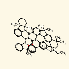 CCCCc1ccc(N2c3cc4c(c5c3B(c3ccc6c(c32)-c2cc3c(cc2C6(C)C)C(C)(C)CCC3(C)C)N2c3c-5cccc3C3(C)CCCCC23C)-c2ccccc2C4(C)C)c(-c2ccccc2)c1